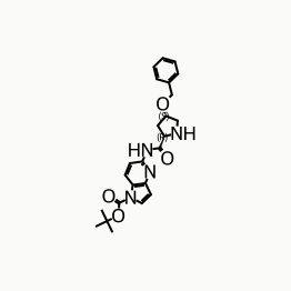 CC(C)(C)OC(=O)n1ccc2nc(NC(=O)[C@H]3C[C@H](OCc4ccccc4)CN3)ccc21